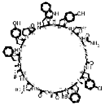 CCCC[C@H]1C(=O)N(C)CC(=O)N[C@@H](CC(=O)O)C(=O)N[C@@H](C(C)C)C(=O)N(C)[C@@H](Cc2ccccc2)C(=O)N[C@@H](Cc2ccc(O)cc2)C(=O)N2CCC[C@@H]2C(=O)N[C@@H](Cc2c[nH]c3ccccc23)C(=O)N[C@@H](Cc2ccc(O)cc2)C(=O)N[C@@H](CC(C)C)C(=O)N[C@H](C(N)=O)CSCC(=O)N[C@@H](Cc2cccc(Cl)c2)C(=O)N(C)[C@@H](Cc2ccccc2)C(=O)N1C